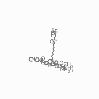 CC(C)[C@@H](N)C(=O)O[C@H]1CC[C@H]2[C@@H]3[C@H](CCCCCCCCC[S+]([O-])CCCC(F)(F)C(F)(F)F)Cc4cc(OC(=O)N5CCC(N6CCCCC6)CC5)ccc4[C@H]3CC[C@]12C